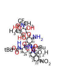 CN(C(=O)C(F)(F)F)[C@@H]1[C@@H](O)[C@@H](O[C@@H]2[C@@H](O)[C@H](O[C@H]3O[C@H](C(Cc4ccc([N+](=O)[O-])cc4)NC(=O)O)CC[C@H]3NC(=O)OC(C)(C)C)[C@@H](NC(=O)OC(C)(C)C)C[C@H]2N)OC[C@]1(C)O